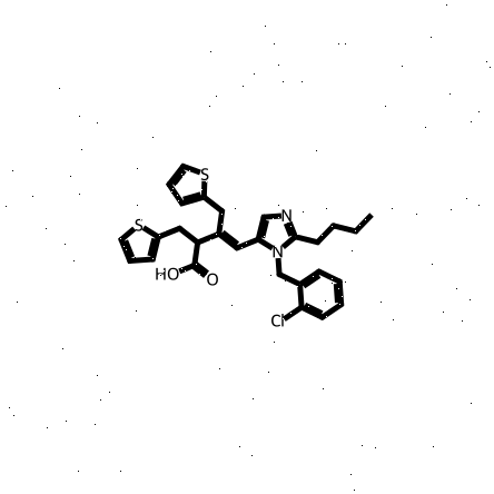 CCCCc1ncc(/C=C(\Cc2cccs2)C(Cc2cccs2)C(=O)O)n1Cc1ccccc1Cl